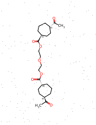 CC(=O)[C@@H]1CCC[C@@H](C(=O)OCCOCCOC(=O)[C@H]2CCC[C@H](C(C)=O)CC2)CC1